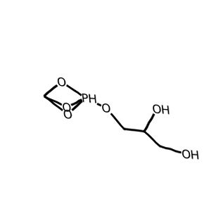 OCC(O)CO[PH]12OC(O1)O2